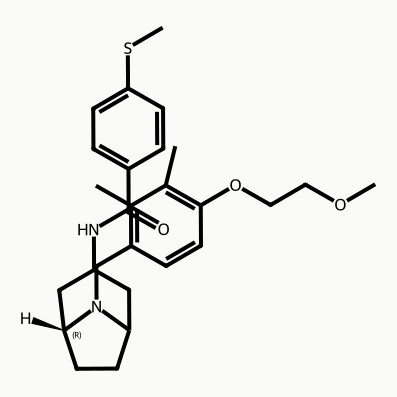 COCCOc1ccc(CN2C3CC[C@@H]2CC(NC(=O)c2ccc(SC)cc2)C3)c(C)c1C